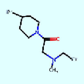 CC(C)CN(C)CC(=O)N1CCC(C(C)C)CC1